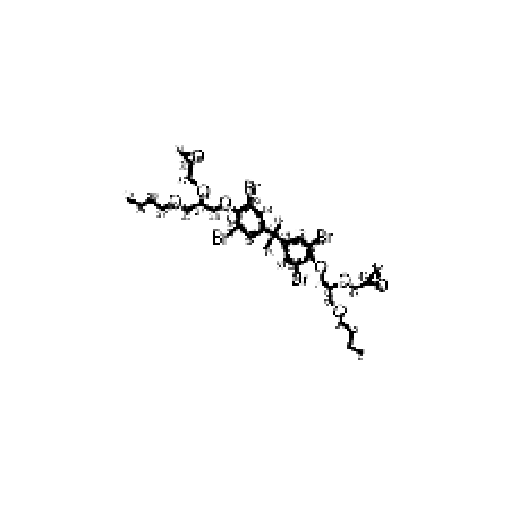 CCCCOCC(COc1c(Br)cc(C(C)(C)c2cc(Br)c(OCC(COCCCC)OCC3CO3)c(Br)c2)cc1Br)OCC1CO1